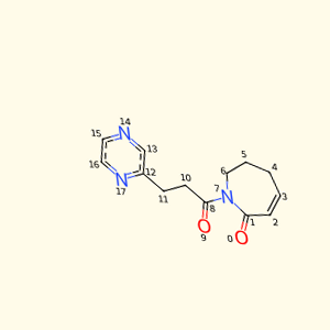 O=C1C=CCCCN1C(=O)CCc1cnccn1